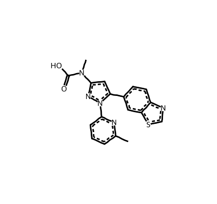 Cc1cccc(-n2nc(N(C)C(=O)O)cc2-c2ccc3ncsc3c2)n1